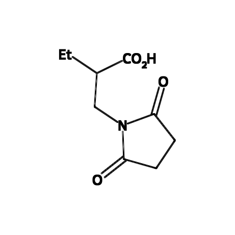 CCC(CN1C(=O)CCC1=O)C(=O)O